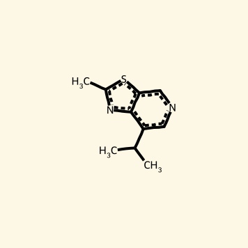 Cc1nc2c(C(C)C)cncc2s1